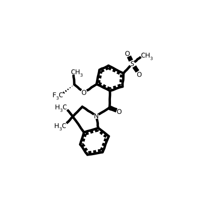 C[C@H](Oc1ccc(S(C)(=O)=O)cc1C(=O)N1CC(C)(C)c2ccccc21)C(F)(F)F